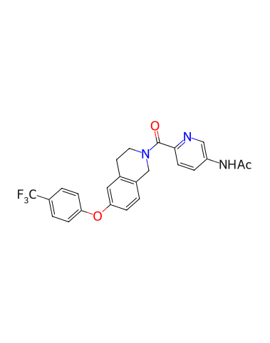 CC(=O)Nc1ccc(C(=O)N2CCc3cc(Oc4ccc(C(F)(F)F)cc4)ccc3C2)nc1